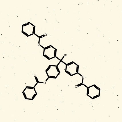 O=C(Oc1ccc(C(Br)(c2ccc(OC(=O)c3ccccc3)cc2)c2ccc(OC(=O)c3ccccc3)cc2)cc1)c1ccccc1